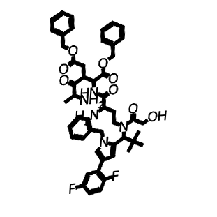 CC(N)C(=O)C(CC(=O)OCc1ccccc1)C(NC(=O)C(N)CCN(C(=O)CO)C(c1cc(-c2cc(F)ccc2F)cn1Cc1ccccc1)C(C)(C)C)C(=O)OCc1ccccc1